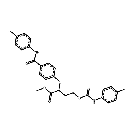 COC(=O)C(CCOC(=O)Nc1ccc(F)cc1)Sc1ccc(C(=O)Nc2ccc(Cl)cc2)cc1